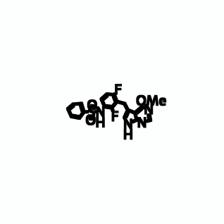 COc1ncnc2[nH]cc(Cc3c(F)ccc(NS(=O)(=O)c4ccccc4)c3F)c12